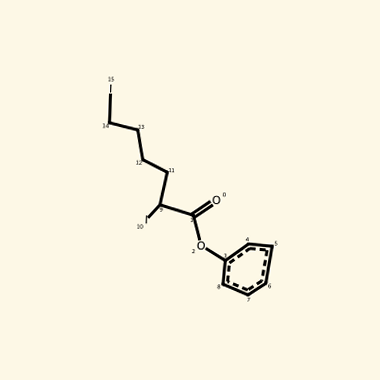 O=C(Oc1ccccc1)C(I)CCCCI